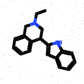 CCN1Cc2ccccc2C(c2cc3ccccc3[nH]2)C1